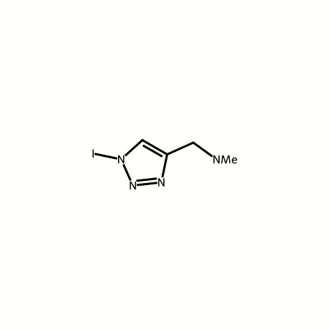 CNCc1cn(I)nn1